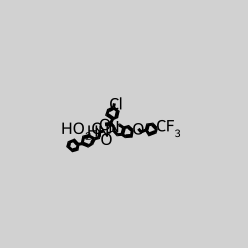 O=C(O)[C@H](Cc1ccc(-c2ccccc2)cc1)NC(=O)[C@@H]1Cc2ccc(OCc3ccc(C(F)(F)F)cc3)cc2CN1C(=O)c1ccc(Cl)cc1